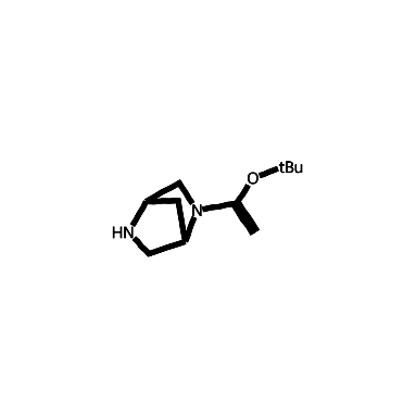 C=C(OC(C)(C)C)N1CC2CC1CN2